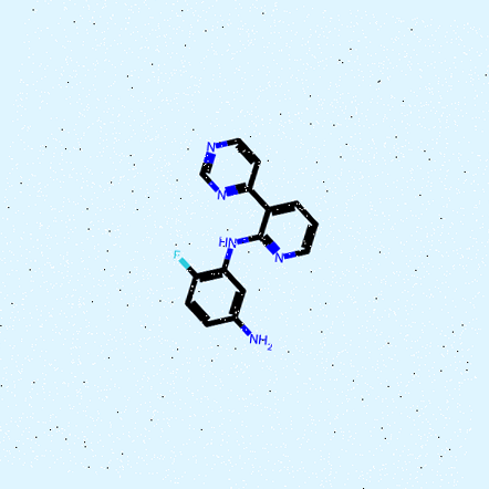 Nc1ccc(F)c(Nc2ncccc2-c2ccncn2)c1